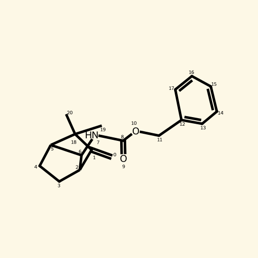 C=C1C2CCC(C2NC(=O)OCc2ccccc2)C1(C)C